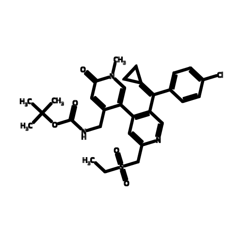 CCS(=O)(=O)Cc1cc(-c2cn(C)c(=O)cc2CNC(=O)OC(C)(C)C)c(C(=C2CC2)c2ccc(Cl)cc2)cn1